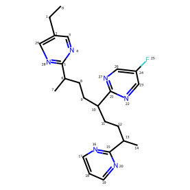 CCc1cnc(C(C)CCC(CCC(C)c2ncccn2)c2ncc(F)cn2)nc1